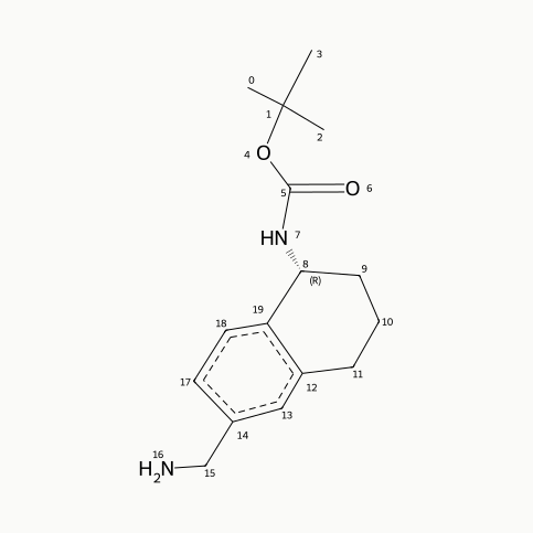 CC(C)(C)OC(=O)N[C@@H]1CCCc2cc(CN)ccc21